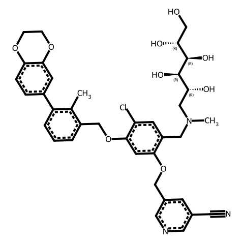 Cc1c(COc2cc(OCc3cncc(C#N)c3)c(CN(C)C[C@@H](O)[C@@H](O)[C@H](O)[C@H](O)CO)cc2Cl)cccc1-c1ccc2c(c1)OCCO2